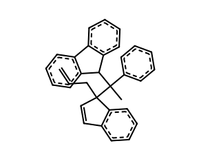 C=CCC1(C(C)(c2ccccc2)C2c3ccccc3-c3ccccc32)C=Cc2ccccc21